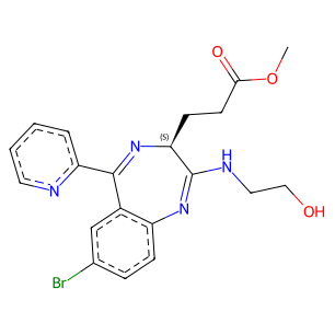 COC(=O)CC[C@@H]1N=C(c2ccccn2)c2cc(Br)ccc2N=C1NCCO